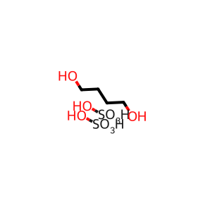 O=S(=O)(O)O.O=S(=O)(O)O.OCCCCO